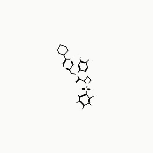 Cc1c(F)c(F)c(S(=O)(=O)N2CCC2C(=O)N(Cc2cnc(C3CCCCC3)cn2)c2ccc(C(=O)O)c(O)c2)c(F)c1F